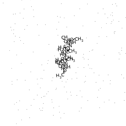 C=CCOc1nc(OCC=C)[nH]c(=NC2CC(C)(C)N(CCNCCN3C(C)(C)CC(N=c4nc(OCC=C)nc(OCC=C)[nH]4)CC3(C)C)C(C)(C)C2)n1